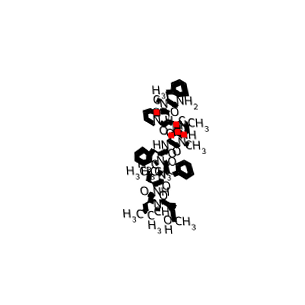 CC(C)C[C@H](NC(=O)[C@H](CC(C)C)N(C)C(=O)C1C[C@H]1[C@@H](C)O)C(=O)N(C)[C@@H](CC1=CC=CCC1)C(=O)N(C)[C@@H](Cc1ccccc1)C(=O)N[C@@H](Cc1cnc[nH]1)C(=O)N(C)[C@@H](CC(C)C)C(=O)N[C@@H](CC(=O)N(C)[C@@H](Cc1ccccc1)C(N)=O)C(=O)N1CCCCC1